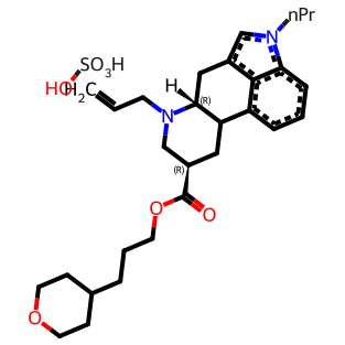 C=CCN1C[C@H](C(=O)OCCCC2CCOCC2)CC2c3cccc4c3c(cn4CCC)C[C@H]21.O=S(=O)(O)O